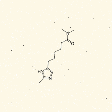 Cc1n[c]c(CCCCCC(=O)N(C)C)[nH]1